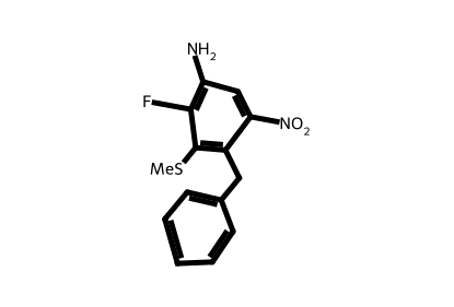 CSc1c(F)c(N)cc([N+](=O)[O-])c1Cc1ccccc1